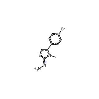 Cn1c(-c2ccc(Br)cc2)cs/c1=N\N